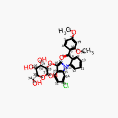 COc1ccc(C(=O)c2ccccc2-n2cc(O[C@@H]3[C@@H](O)[C@@H](O)[C@@H](CO)O[C@H]3O)c3ccc(Cl)cc32)c(OC)c1